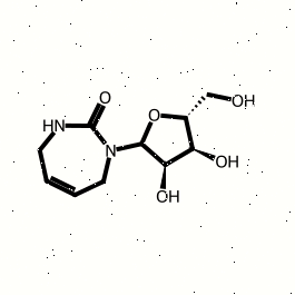 O=C1NCC=CCN1C1O[C@H](CO)[C@@H](O)[C@H]1O